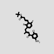 C/C(=C\C(=O)c1cc(N)ccc1Cl)Cc1ccc(F)c(/C=C/CC(=O)OC(C)(C)C)c1F